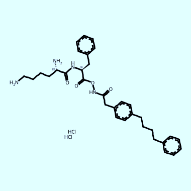 Cl.Cl.NCCCC[C@H](N)C(=O)N[C@@H](Cc1ccccc1)C(=O)ONC(=O)Cc1ccc(CCCCc2ccccc2)cc1